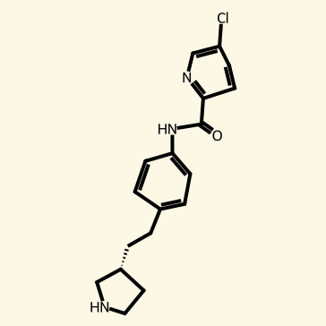 O=C(Nc1ccc(CC[C@@H]2CCNC2)cc1)c1ccc(Cl)cn1